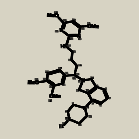 CCN1CCN(c2cccc3c2CN([C@H](CCCNc2nc(OC)cc(OC)n2)c2ccc(OC)c(OC)c2)C3)CC1